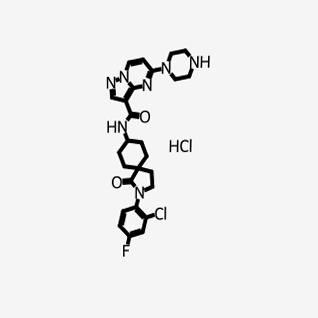 Cl.O=C(NC1CCC2(CC1)CCN(c1ccc(F)cc1Cl)C2=O)c1cnn2ccc(N3CCNCC3)nc12